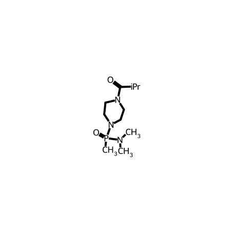 CC(C)C(=O)N1CCN(P(C)(=O)N(C)C)CC1